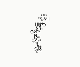 O=C(Nc1ccc(C(=O)N2CC3(CC(c4nccs4)C3)C2)s1)[C@@H]1CCCN1